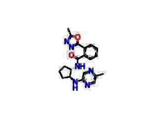 Cc1cnc(N[C@H]2CCC[C@@H]2NC(=O)c2ccccc2-c2nnc(C)o2)cn1